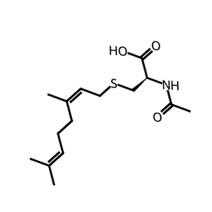 CC(=O)N[C@@H](CSCC=C(C)CCC=C(C)C)C(=O)O